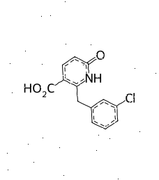 O=C(O)c1ccc(=O)[nH]c1Cc1cccc(Cl)c1